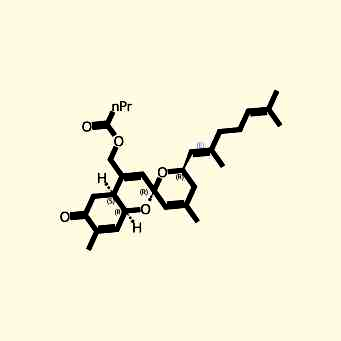 CCCC(=O)OCC1=C[C@@]2(C=C(C)C[C@H](/C=C(\C)CCC=C(C)C)O2)O[C@H]2C=C(C)C(=O)C[C@@H]12